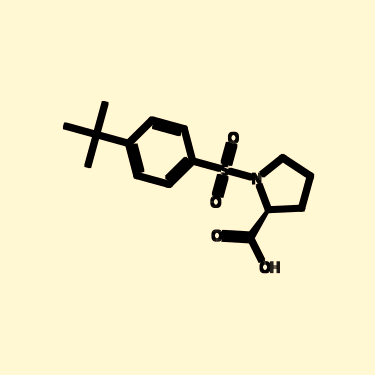 CC(C)(C)c1ccc(S(=O)(=O)N2CCC[C@H]2C(=O)O)cc1